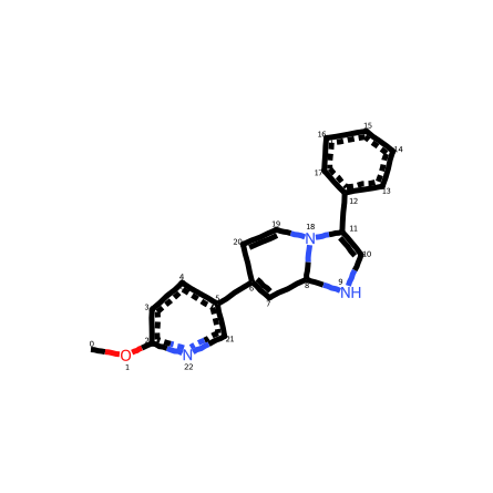 COc1ccc(C2=CC3NC=C(c4ccccc4)N3C=C2)cn1